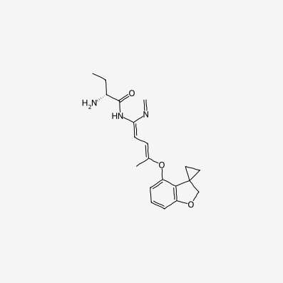 C=N/C(=C\C=C(/C)Oc1cccc2c1C1(CC1)CO2)NC(=O)[C@H](N)CC